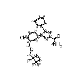 NC(=O)c1nc(-c2ccccc2)n(-c2ccc(Cl)c(COCC(F)(F)C(F)(F)F)c2)n1